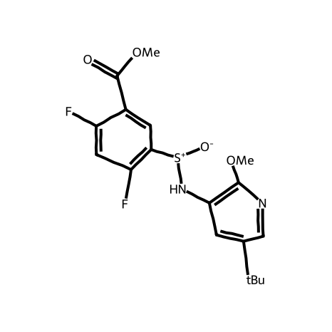 COC(=O)c1cc([S+]([O-])Nc2cc(C(C)(C)C)cnc2OC)c(F)cc1F